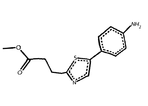 COC(=O)CCc1ncc(-c2ccc(N)cc2)s1